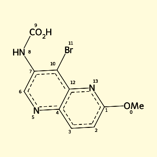 COc1ccc2ncc(NC(=O)O)c(Br)c2n1